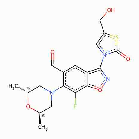 C[C@@H]1CN(c2c(C=O)cc3c(-n4cc(CO)sc4=O)noc3c2F)C[C@@H](C)O1